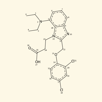 CCN(CC)c1cccc2nc(COc3ccc(Cl)cc3Cl)n(CCC(=O)O)c12